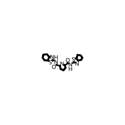 O=C(Nc1nc2ccccc2s1)c1cccc(C(=O)Nc2nc3ccccc3s2)n1